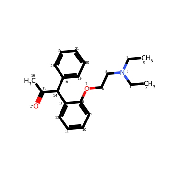 CCN(CC)CCOc1ccccc1C(C(C)=O)c1ccccc1